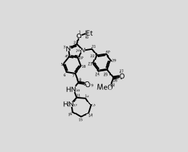 CCOc1nc2ccc(C(=O)NC3CCCCCN3)cc2n1Cc1ccc(C(=O)OC)cc1